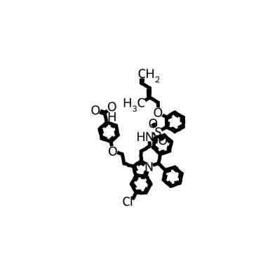 C=C/C=C(\C)COc1ccccc1S(=O)(=O)NCCc1c(CCOc2ccc(C(=O)O)cc2)c2cc(Cl)ccc2n1C(c1ccccc1)c1ccccc1